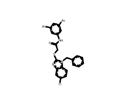 CC(=O)c1cc(NC(=O)CSc2nc3cc(Cl)ccc3n2Cc2ccccc2)cc(C(C)=O)c1